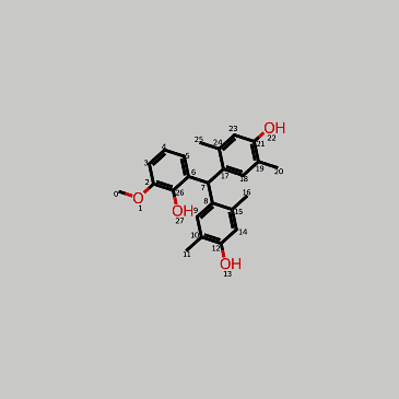 COc1cccc(C(c2cc(C)c(O)cc2C)c2cc(C)c(O)cc2C)c1O